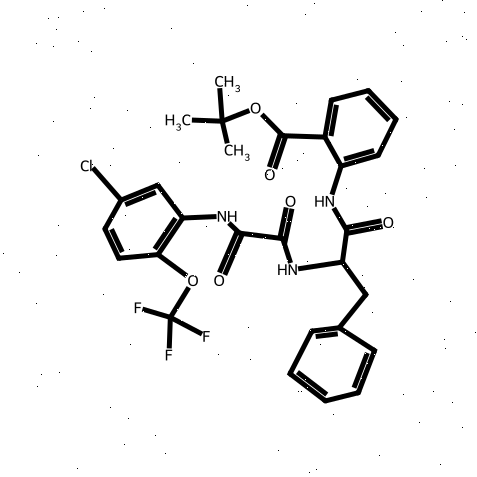 CC(C)(C)OC(=O)c1ccccc1NC(=O)C(Cc1ccccc1)NC(=O)C(=O)Nc1cc(Cl)ccc1OC(F)(F)F